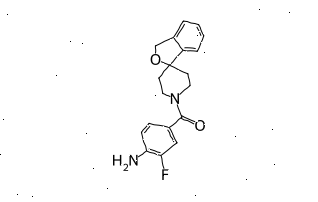 Nc1ccc(C(=O)N2CCC3(CC2)OCc2ccccc23)cc1F